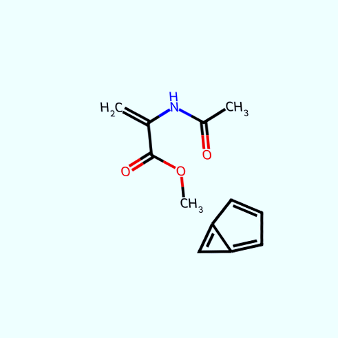 C=C(NC(C)=O)C(=O)OC.c1cc2cc-2c1